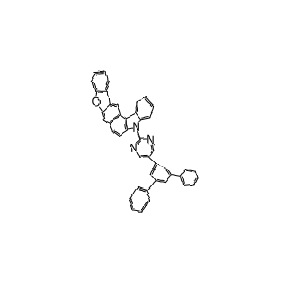 c1ccc(-c2cc(-c3ccccc3)cc(-c3cnc(-n4c5ccccc5c5c6cc7c(cc6ccc54)oc4ccccc47)nc3)c2)cc1